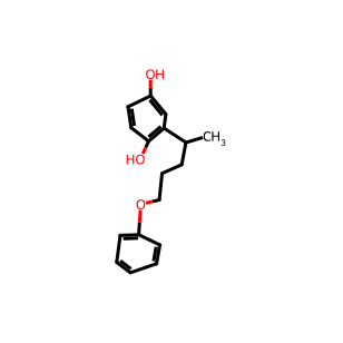 CC(CCCOc1ccccc1)c1cc(O)ccc1O